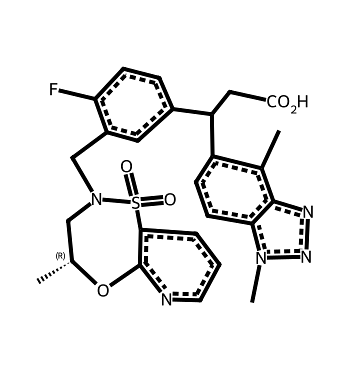 Cc1c(C(CC(=O)O)c2ccc(F)c(CN3C[C@@H](C)Oc4ncccc4S3(=O)=O)c2)ccc2c1nnn2C